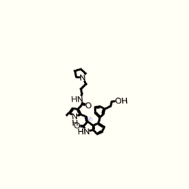 Cc1cc(C(=O)NCCCN2CCCC2)c(/C=C2\C(=O)Nc3cccc(-c4cccc(CCO)c4)c32)[nH]1